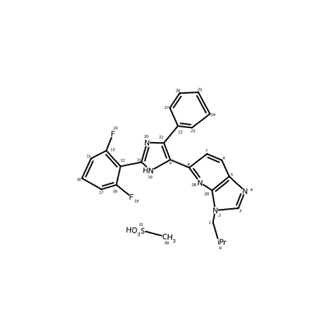 CC(C)Cn1cnc2ccc(-c3[nH]c(-c4c(F)cccc4F)nc3-c3ccccc3)nc21.CS(=O)(=O)O